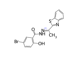 C/C(=N\NC(=O)c1cc(Br)ccc1O)c1nc2ccccc2s1